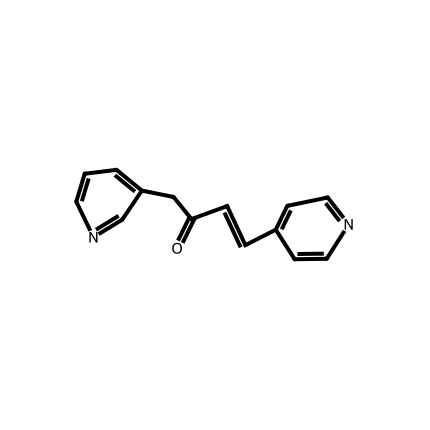 O=C(C=Cc1ccncc1)Cc1cccnc1